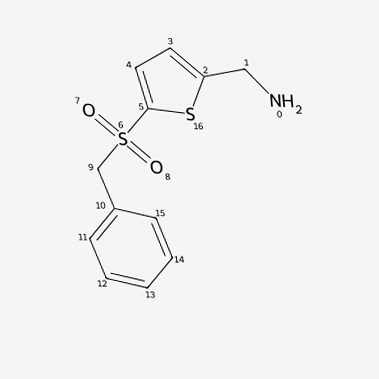 NCc1ccc(S(=O)(=O)Cc2ccccc2)s1